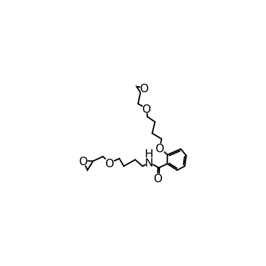 O=C(NCCCCOCC1CO1)c1ccccc1OCCCCOCC1CO1